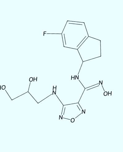 OCC(O)CNc1nonc1C(=NO)NC1CCc2ccc(F)cc21